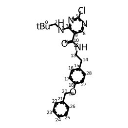 CC(C)(C)CNc1nc(Cl)ncc1C(=O)NCCc1ccc(OCc2ccccc2)cc1